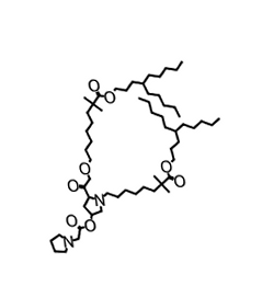 CCCCCC(CCCCC)CCCOC(=O)C(C)(C)CCCCCCOCC(=O)C1CC(OC(=O)CN2CCCC2)CN1CCCCCCC(C)(C)C(=O)OCCCC(CCCCC)CCCCC